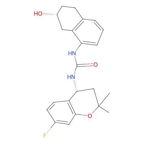 CC1(C)C[C@@H](NC(=O)Nc2cccc3c2C[C@H](O)CC3)c2ccc(F)cc2O1